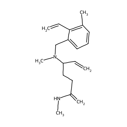 C=Cc1c(C)cccc1CN(C)C(C=C)CCC(=C)NC